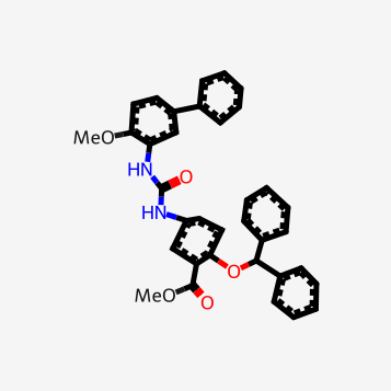 COC(=O)c1cc(NC(=O)Nc2cc(-c3ccccc3)ccc2OC)ccc1OC(c1ccccc1)c1ccccc1